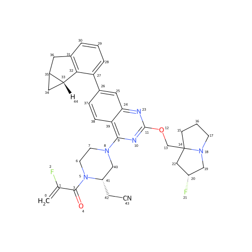 C=C(F)C(=O)N1CCN(c2nc(OCC34CCCN3C[C@H](F)C4)nc3cc(-c4cccc5c4[C@@H]4CC4C5)ccc23)C[C@@H]1CC#N